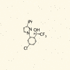 CC(C)c1ccn(-c2cc(Cl)ccc2[C@@H](O)C(F)(F)F)n1